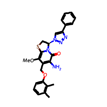 COc1c(COc2cccc(C)c2C)c(N)c(=O)n2c1SC[C@H]2n1cc(-c2ccccc2)nn1